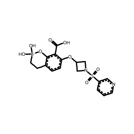 O=C(O)c1c(OC2CN(S(=O)(=O)c3cccnc3)C2)ccc2c1O[B-](O)(O)CC2